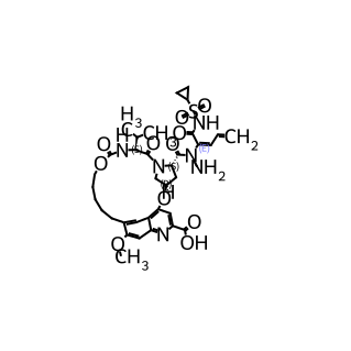 C=C/C=C(\C(=O)NS(=O)(=O)C1CC1)N(N)C(=O)[C@@H]1C[C@@H]2CN1C(=O)[C@H](C(C)C)NC(=O)OCCCCCc1cc3c(cc(C(=O)O)nc3cc1OC)O2